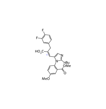 CCCCc1ncc(/C=C(\Cc2ccc(F)c(F)c2)C(=O)O)n1-c1ccc(OC)cc1C(=O)OC